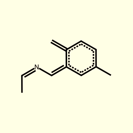 C=c1ccc(C)c/c1=C/N=C\C